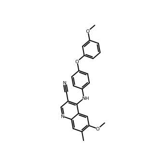 COc1cccc(Oc2ccc(Nc3c(C#N)cnc4cc(C)c(OC)cc34)cc2)c1